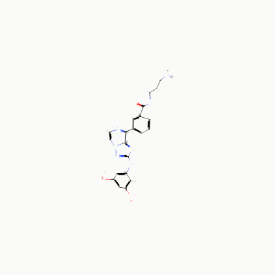 COc1cc(Nc2nc3c(-c4cccc(C(=O)NCCCN(C)C)c4)nccn3n2)cc(OC)c1